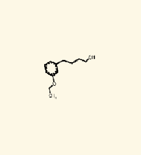 CCOc1cccc(CCCCO)c1